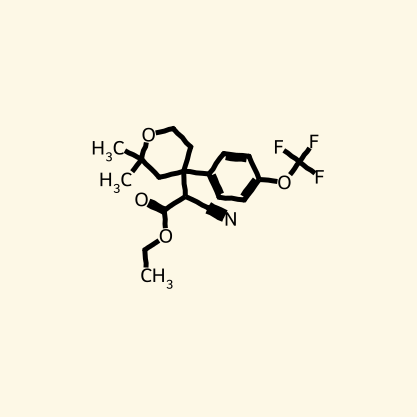 CCOC(=O)C(C#N)C1(c2ccc(OC(F)(F)F)cc2)CCOC(C)(C)C1